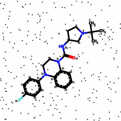 CC(C)(C)N1CCC(NC(=O)N2CCN(c3ccc(F)cc3)c3ccccc32)C1